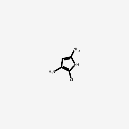 Nc1cc(N)c(Cl)[nH]1